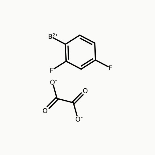 O=C([O-])C(=O)[O-].[B+2]c1ccc(F)cc1F